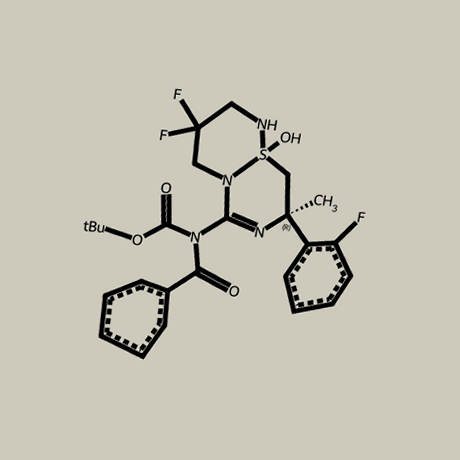 CC(C)(C)OC(=O)N(C(=O)c1ccccc1)C1=N[C@](C)(c2ccccc2F)CS2(O)NCC(F)(F)CN12